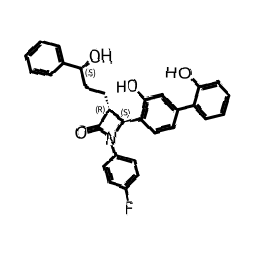 O=C1[C@H](CC[C@H](O)c2ccccc2)[C@@H](c2ccc(-c3ccccc3O)cc2O)N1c1ccc(F)cc1